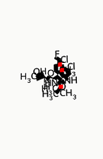 CC(/C=C\C=C(\Cl)CF)[C@H]1[C@H](C(=O)N[C@H]2C[C@@](C)(O)C2)N[C@H](CC(C)(C)C)[C@]12C(=O)Nc1cc(Cl)c(F)cc12